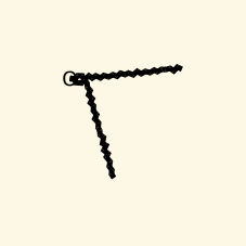 CCCCCCCCCCCCCCCCCCCCCCCCCC1(CCCCCCCCCCCCCCCCCCCCCCCC)CCC(=O)CC1